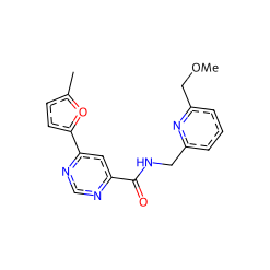 COCc1cccc(CNC(=O)c2cc(-c3ccc(C)o3)ncn2)n1